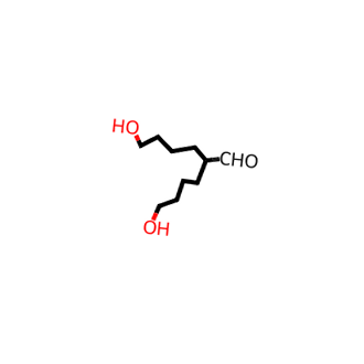 O=CC(CCCCO)CCCCO